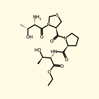 CCOC(=O)[C@@H](NC(=O)[C@@H]1CCCN1C(=O)[C@@H]1CSCN1C(=O)[C@@H](N)[C@@H](C)O)[C@@H](C)O